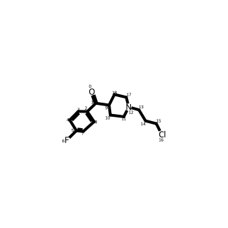 O=C(c1ccc(F)cc1)C1CCN(CCCCl)CC1